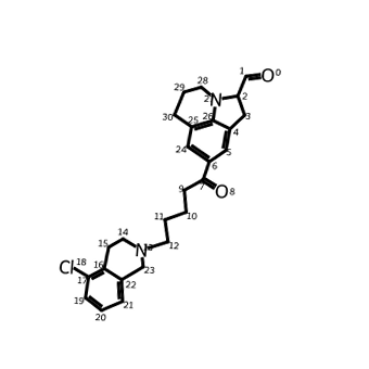 O=CC1Cc2cc(C(=O)CCCCN3CCc4c(Cl)cccc4C3)cc3c2N1CCC3